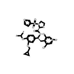 O=C(O[C@@H](Cc1c(Cl)c[n+]([O-])cc1Cl)c1ccc(OC(F)F)c(OCC2CC2)c1)[C@@H]1SCCN1S(=O)(=O)c1ccoc1